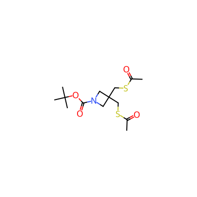 CC(=O)SCC1(CSC(C)=O)CN(C(=O)OC(C)(C)C)C1